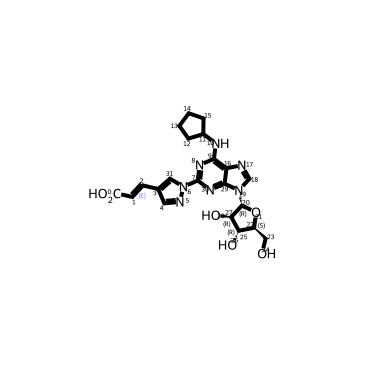 O=C(O)/C=C/c1cnn(-c2nc(NC3CCCC3)c3ncn([C@@H]4O[C@@H](CO)[C@H](O)[C@H]4O)c3n2)c1